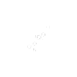 CCCCc1nc(C)n(-c2cccc(CCO)c2)c(=O)c1Cc1ccc(-c2ccccc2C#N)cc1